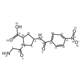 NCC(=O)N1CC(NC(=O)c2ccc([N+](=O)[O-])cc2)CC1C(=O)O